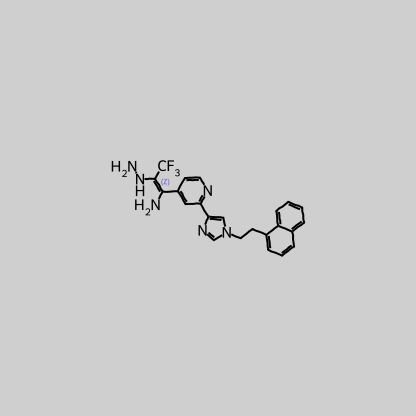 NN/C(=C(\N)c1ccnc(-c2cn(CCc3cccc4ccccc34)cn2)c1)C(F)(F)F